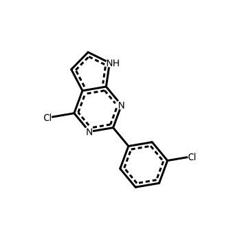 Clc1cccc(-c2nc(Cl)c3cc[nH]c3n2)c1